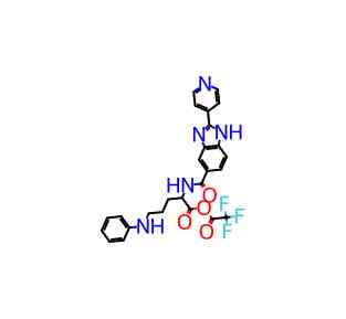 O=C(NC(CCCNc1ccccc1)C(=O)OC(=O)C(F)(F)F)c1ccc2[nH]c(-c3ccncc3)nc2c1